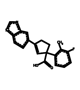 Cc1c(F)cccc1C1(C(=O)O)C=C(c2ccc3scnc3c2)CC1